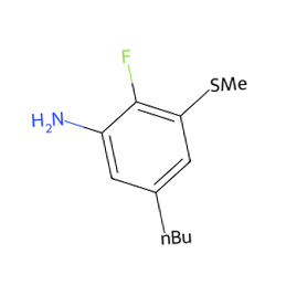 CCCCc1cc(N)c(F)c(SC)c1